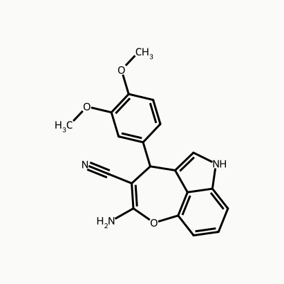 COc1ccc(C2C(C#N)=C(N)Oc3cccc4[nH]cc2c34)cc1OC